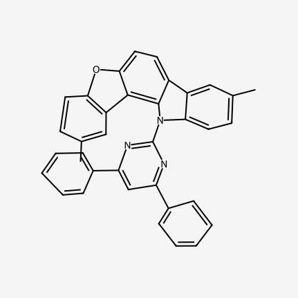 Cc1ccc2oc3ccc4c5cc(C)ccc5n(-c5nc(-c6ccccc6)cc(-c6ccccc6)n5)c4c3c2c1